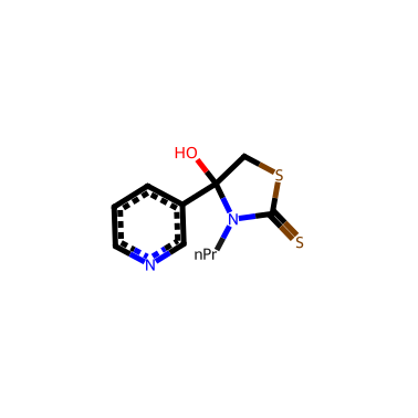 CCCN1C(=S)SCC1(O)c1cccnc1